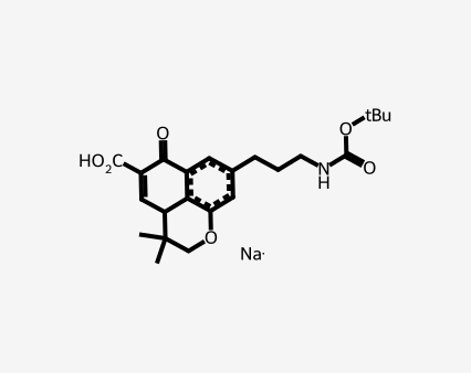 CC(C)(C)OC(=O)NCCCc1cc2c3c(c1)C(=O)C(C(=O)O)=CC3C(C)(C)CO2.[Na]